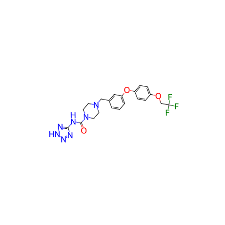 O=C(Nc1nn[nH]n1)N1CCN(Cc2cccc(Oc3ccc(OCC(F)(F)F)cc3)c2)CC1